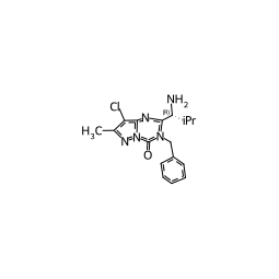 Cc1nn2c(=O)n(Cc3ccccc3)c([C@H](N)C(C)C)nc2c1Cl